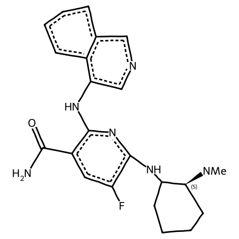 CN[C@H]1CCCCC1Nc1nc(Nc2cncc3ccccc23)c(C(N)=O)cc1F